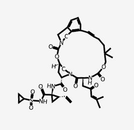 C=C[C@@H]1C[C@]1(NC(=O)[C@@H]1C[C@@H]2CN1C(=O)[C@H](CC(=O)C=C(C)C)NC(=O)OCC(C)(C)CC/C=C/c1cccc3c1CN(C3)C(=O)O2)C(=O)NS(=O)(=O)C1CC1